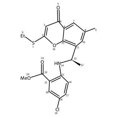 CCSc1cc(=O)c2cc(C)cc([C@@H](C)Nc3ccc(Cl)cc3C(=O)OC)c2o1